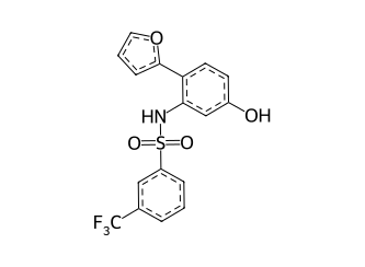 O=S(=O)(Nc1cc(O)ccc1-c1ccco1)c1cccc(C(F)(F)F)c1